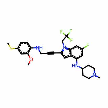 COc1cc(SC)ccc1NCC#Cc1cc2c(NC3CCN(C)CC3)cc(F)cc2n1CC(F)(F)F